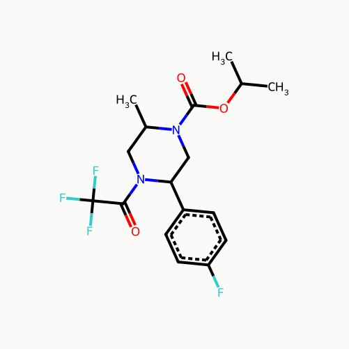 CC(C)OC(=O)N1CC(c2ccc(F)cc2)N(C(=O)C(F)(F)F)CC1C